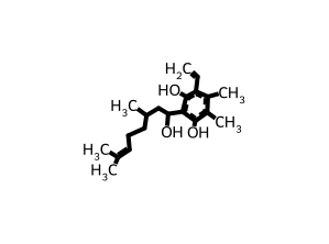 C=Cc1c(C)c(C)c(O)c(C(O)CC(C)CCC=C(C)C)c1O